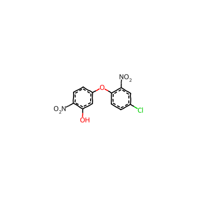 O=[N+]([O-])c1ccc(Oc2ccc(Cl)cc2[N+](=O)[O-])cc1O